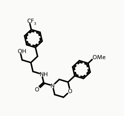 COc1ccc(C2CN(C(=O)NCC(CO)Cc3ccc(C(F)(F)F)cc3)CCO2)cc1